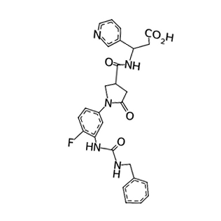 O=C(O)CC(NC(=O)C1CC(=O)N(c2ccc(F)c(NC(=O)NCc3ccccc3)c2)C1)c1cccnc1